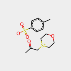 CC(=O)C[S+]1CCOCC1.Cc1ccc(S(=O)(=O)[O-])cc1